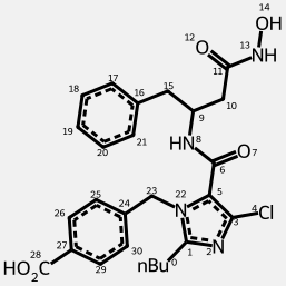 CCCCc1nc(Cl)c(C(=O)NC(CC(=O)NO)Cc2ccccc2)n1Cc1ccc(C(=O)O)cc1